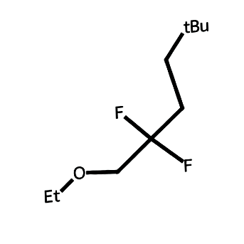 CCOCC(F)(F)CCC(C)(C)C